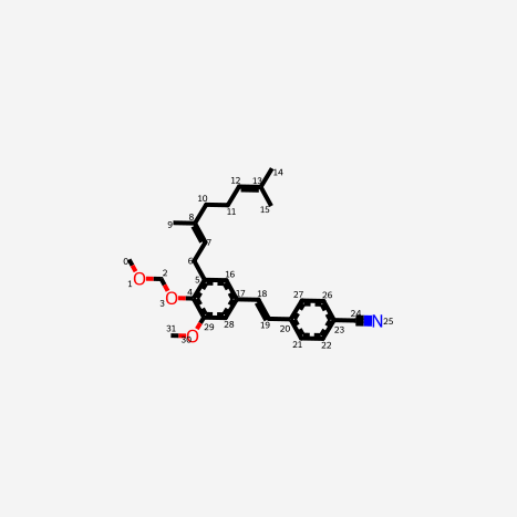 COCOc1c(C/C=C(\C)CCC=C(C)C)cc(/C=C/c2ccc(C#N)cc2)cc1OC